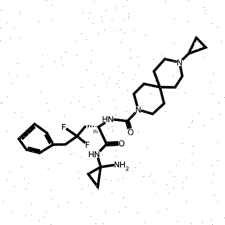 NC1(NC(=O)[C@H](CC(F)(F)Cc2ccccc2)NC(=O)N2CCC3(CC2)CCN(C2CC2)CC3)CC1